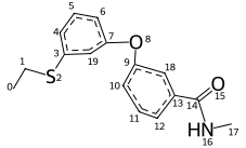 CCSc1cccc(Oc2cccc(C(=O)NC)c2)c1